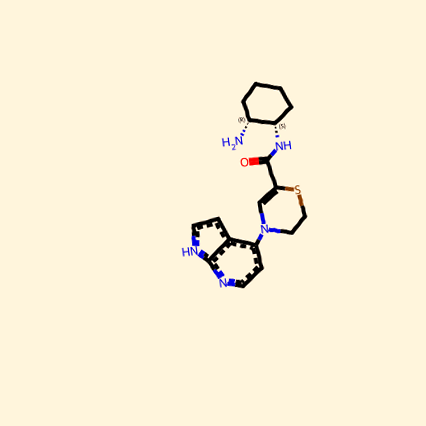 N[C@@H]1CCCC[C@@H]1NC(=O)C1=CN(c2ccnc3[nH]ccc23)CCS1